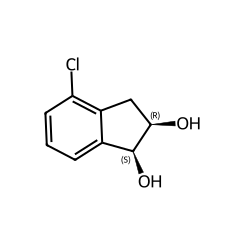 O[C@@H]1Cc2c(Cl)cccc2[C@@H]1O